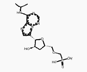 CC(C)Nc1ncnn2c([C@@H]3O[C@H](COCP(=O)(O)O)C[C@H]3O)cnc12